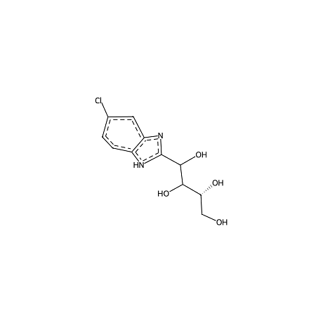 OC[C@@H](O)C(O)C(O)c1nc2cc(Cl)ccc2[nH]1